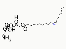 CCCCCC/C=C\CCCCCCCCCC(=O)OC[C@@H](O)COP(=O)(O)OCCN